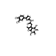 Cc1oc2c(c1CC(=O)Nc1nc(-c3ccc(Cl)c(Cl)c3)cs1)c(=O)n(C)c(=O)n2C